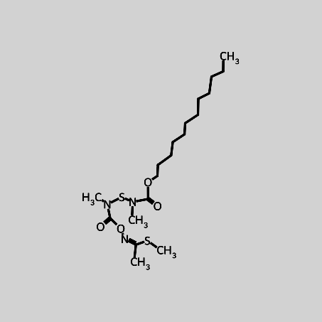 CCCCCCCCCCCCOC(=O)N(C)SN(C)C(=O)ON=C(C)SC